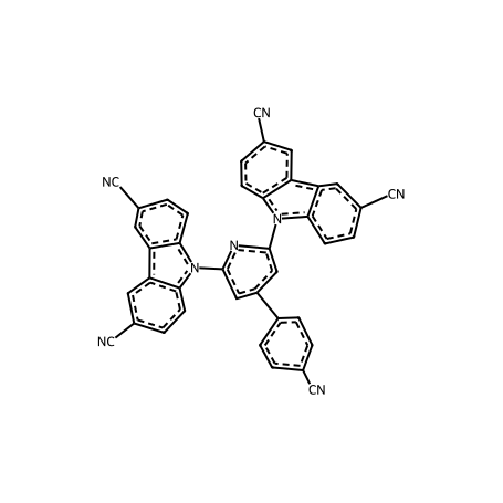 N#Cc1ccc(-c2cc(-n3c4ccc(C#N)cc4c4cc(C#N)ccc43)nc(-n3c4ccc(C#N)cc4c4cc(C#N)ccc43)c2)cc1